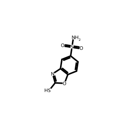 NS(=O)(=O)c1ccc2oc(S)nc2c1